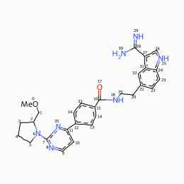 COCC1CCCN1c1nccc(-c2ccc(C(=O)NCCc3ccc4[nH]cc(C(=N)N)c4c3)cc2)n1